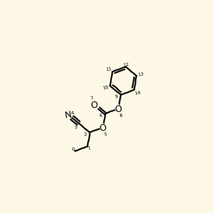 CCC(C#N)OC(=O)Oc1ccccc1